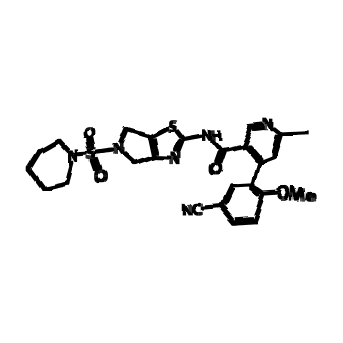 COc1ccc(C#N)cc1-c1cc(C)ncc1C(=O)Nc1nc2c(s1)CN(S(=O)(=O)N1CCCCC1)C2